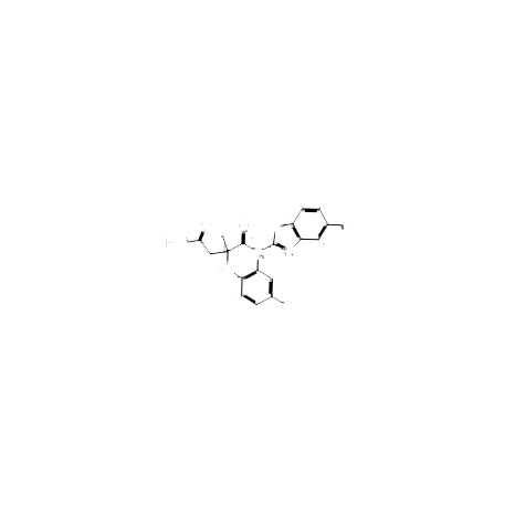 CC1(CC(=O)O)Oc2ccc(F)cc2N(c2nc3cc(F)ccc3s2)C1=O